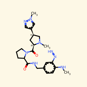 CNc1ccc(CNC(=O)C2CCCN2C(=O)[C@H]2C[C@@H](c3cnn(C)c3)CN2C)cc1N=N